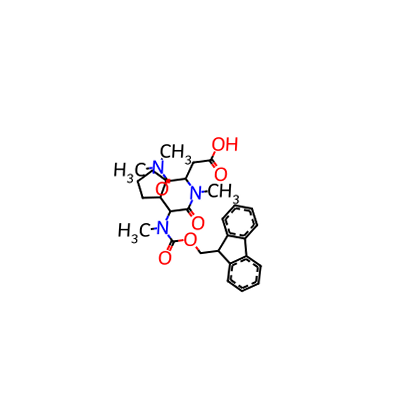 CN(C)C(=O)C(CC(=O)O)N(C)C(=O)C(C1CCCC1)N(C)C(=O)OCC1c2ccccc2-c2ccccc21